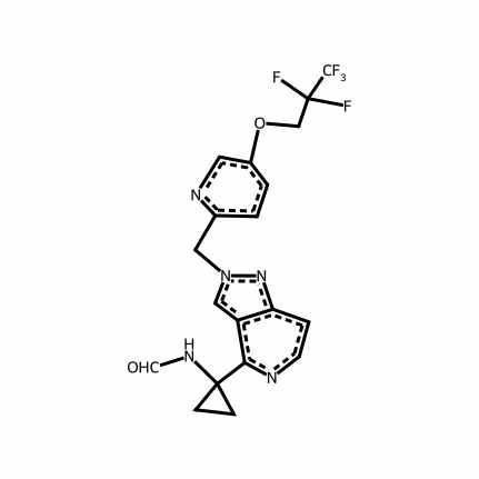 O=CNC1(c2nccc3nn(Cc4ccc(OCC(F)(F)C(F)(F)F)cn4)cc23)CC1